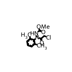 COC(=O)NN(C(=O)CCl)c1c(C)cccc1C